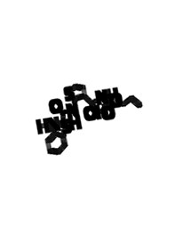 C=CCOC(=O)NC(O)c1ccsc1NC(=O)C1Nc2ccccc2S1